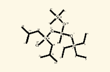 CC[Si](CC)(CC)O[Si](C)(O[Si](C)(C)C)O[Si](Cl)(CC(C)C)CC(C)C